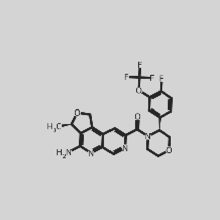 C[C@H]1OCc2c1c(N)nc1cnc(C(=O)N3CCOC[C@@H]3c3ccc(F)c(OC(F)(F)F)c3)cc21